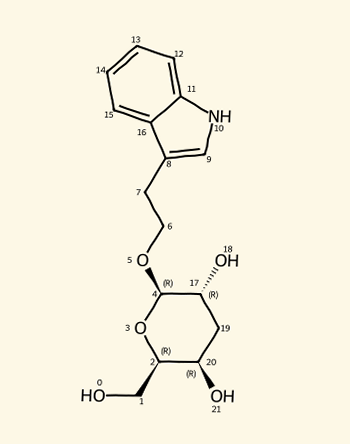 OC[C@H]1O[C@@H](OCCc2c[nH]c3ccccc23)[C@H](O)C[C@H]1O